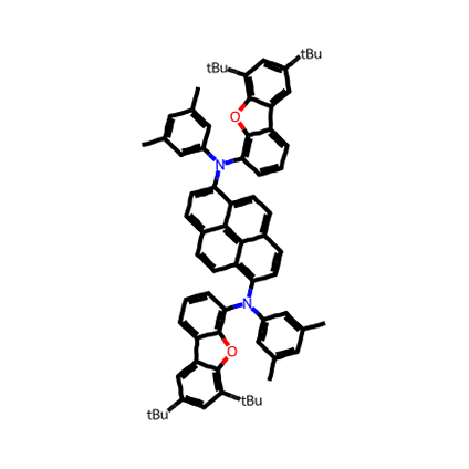 Cc1cc(C)cc(N(c2ccc3ccc4c(N(c5cc(C)cc(C)c5)c5cccc6c5oc5c(C(C)(C)C)cc(C(C)(C)C)cc56)ccc5ccc2c3c54)c2cccc3c2oc2c(C(C)(C)C)cc(C(C)(C)C)cc23)c1